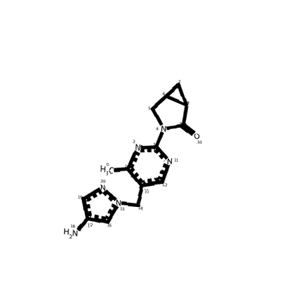 Cc1nc(N2CC3CC3C2=O)ncc1Cn1cc(N)cn1